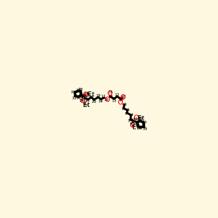 CCO[Si](CCCCCCOC(=O)CCC(=O)OCCCCCC[Si](OCC)(OCC)c1ccccc1)(OCC)c1ccccc1